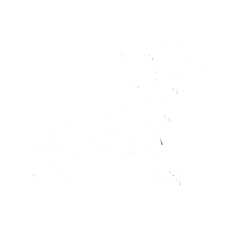 Cn1ccc([O-])c(NC(=O)N[C@@H](CC(=O)[O-])c2cccc(Cc3cccc(C(F)(F)F)c3)c2)c1=O.[Na+].[Na+]